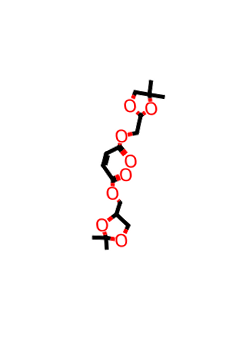 CC1(C)COC(COC(=O)/C=C\C(=O)OCC2COC(C)(C)O2)O1